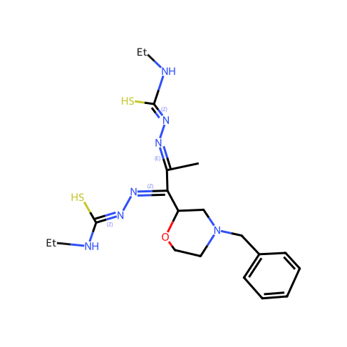 CCN/C(S)=N/N=C(/C(C)=N/N=C(\S)NCC)C1CN(Cc2ccccc2)CCO1